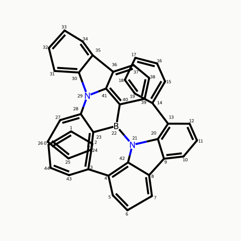 c1ccc(-c2cccc3c4cccc(-c5ccccc5)c4n(B4c5ccccc5-n5c6ccccc6c6cccc4c65)c23)cc1